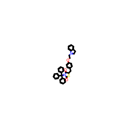 O=C1SC(Cc2ccc(OCCN3CCc4ccccc43)cc2)C(=O)N1C(c1ccccc1)(c1ccccc1)c1ccccc1